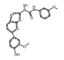 COc1cccc(NC(=O)N(S)c2cnc3ccc(-c4ccc(O)c(OC)c4)nc3n2)c1